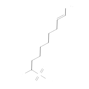 CCCCCCC=CCCCCCCC(C(=O)O)S(C)(=O)=O